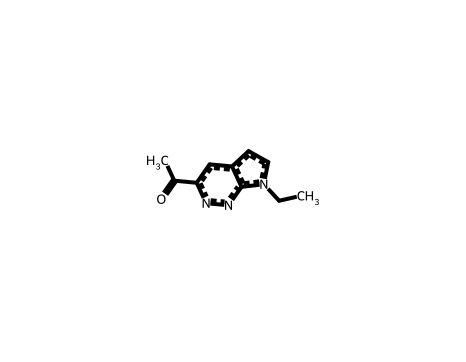 CCn1ccc2cc(C(C)=O)nnc21